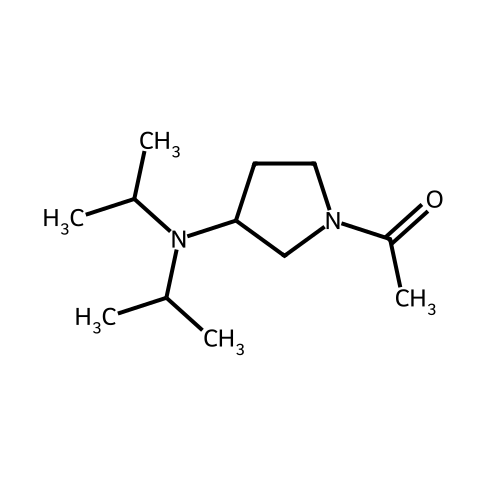 CC(=O)N1CCC(N(C(C)C)C(C)C)C1